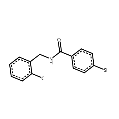 O=C(NCc1ccccc1Cl)c1ccc(S)cc1